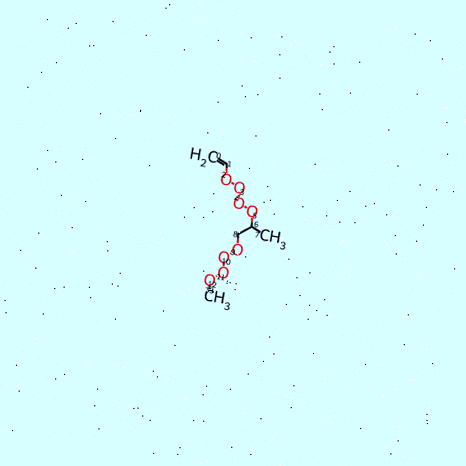 C=COOOOC(C)COOOOC